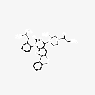 C=CC(=O)N1CCN(c2nc(=O)n(-c3ccccc3CC(C)C)c3nc(-c4ccccc4F)c(F)cc23)[C@@H](C)C1